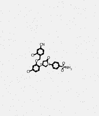 N#Cc1ccc(COc2cc(Cl)ccc2[C@H]2CC(=O)N(c3ccc(S(N)(=O)=O)cc3)C2)c(Cl)c1